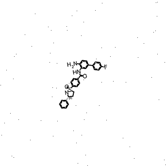 Nc1ccc(-c2ccc(F)cc2)cc1NC(=O)c1ccc(S2(=O)=N[C@@H](c3ccccc3)CC2)cc1